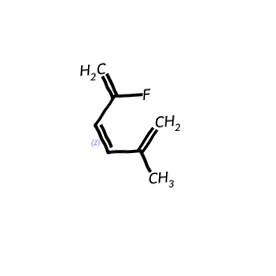 C=C(C)/C=C\C(=C)F